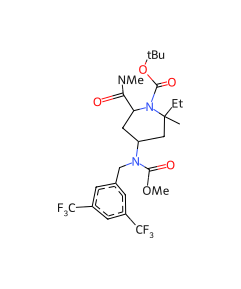 CCC1(C)CC(N(Cc2cc(C(F)(F)F)cc(C(F)(F)F)c2)C(=O)OC)CC(C(=O)NC)N1C(=O)OC(C)(C)C